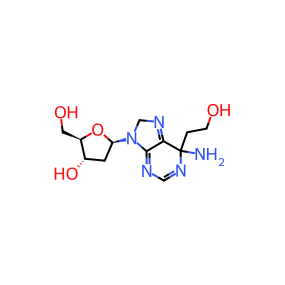 NC1(CCO)N=CN=C2C1=NCN2[C@H]1C[C@H](O)[C@@H](CO)O1